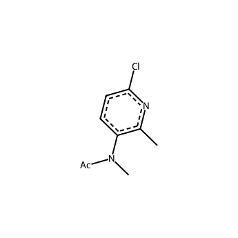 CC(=O)N(C)c1ccc(Cl)nc1C